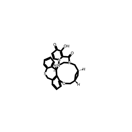 O=C1c2c(O)c(=O)ccn2N2CN1C[C@H]1C[C@H](COc3cccc4c3[C@@H]2c2ccccc2SC4)C1